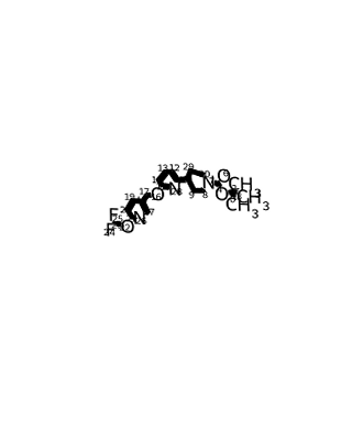 CC(C)(C)OC(=O)N1CCC(c2cccc(OCc3ccc(OC(F)F)nc3)n2)CC1